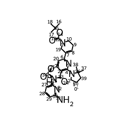 C[C@@H]1CN(c2nc(C3=CCCN(C(=O)OC(C)(C)C)C3)ccc2C(=O)N(c2cccc(N)n2)[SH](=O)=O)C(C)(C)C1